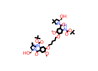 C=C1C[C@@H](CO)N(C(=O)c2cc(OC)c(OCCCCCOc3cc(NC(=O)OC(C)(C)C)c(C(=O)N4CC(C)(C)C[C@H]4CO)cc3OC)cc2NC(=O)OC(C)(C)C)C1